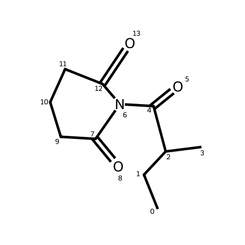 CCC(C)C(=O)N1C(=O)CCCC1=O